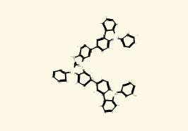 c1ccc(-n2c3ccccc3c3cc(-c4ccc5nc6n(-c7ccccc7)c7ccc(-c8ccc9c(c8)c8ccccc8n9-c8ccccc8)cc7n6c5c4)ccc32)cc1